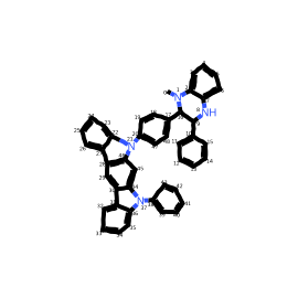 CN1c2ccccc2NC(c2ccccc2)C1c1ccc(-n2c3ccccc3c3cc4c5ccccc5n(-c5ccccc5)c4cc32)cc1